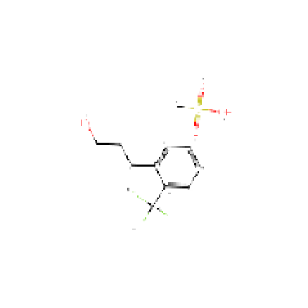 CS(=O)(=O)O.OCCCc1ccccc1C(F)(F)F